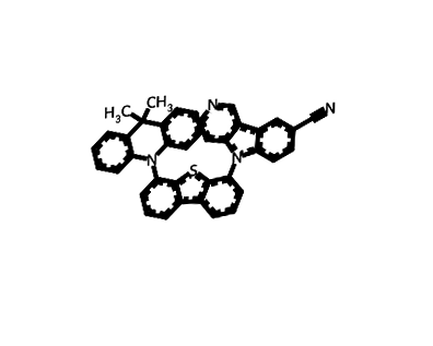 CC1(C)c2ccccc2N(c2cccc3c2sc2c(-n4c5ccncc5c5cc(C#N)ccc54)cccc23)c2ccccc21